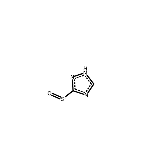 O=[S+]c1nc[nH]n1